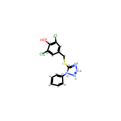 Oc1c(Cl)cc(CSc2nnnn2-c2ccccc2)cc1Cl